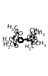 C=C/C(OC)=C(\C=C\c1ccc2c(c1)N(C(=O)OCC)C[C@H](C)N2C(C)=O)S(=O)(=O)N(CC)CC